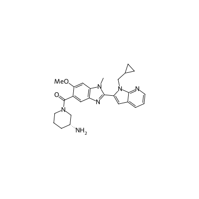 COc1cc2c(cc1C(=O)N1CCC[C@@H](N)C1)nc(-c1cc3cccnc3n1CC1CC1)n2C